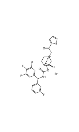 O=C(NC(c1cccc(F)c1)c1cc(F)c(F)c(F)c1)O[C@H]1C[N+]2(CC(=O)c3cccs3)CCC1CC2.[Br-]